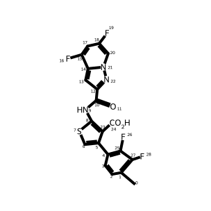 Cc1ccc(-c2csc(NC(=O)c3cc4c(F)cc(F)cn4n3)c2C(=O)O)c(F)c1F